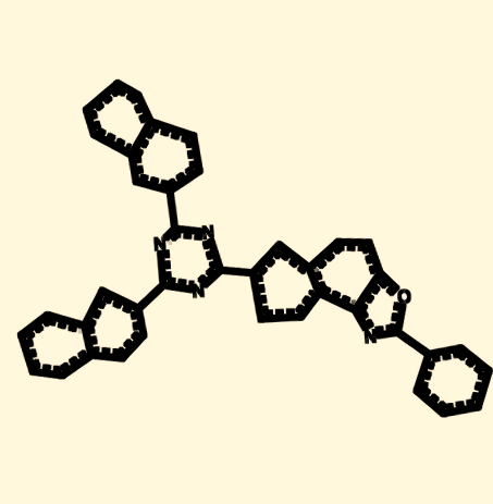 c1ccc(-c2nc3c(ccc4cc(-c5nc(-c6ccc7ccccc7c6)nc(-c6ccc7ccccc7c6)n5)ccc43)o2)cc1